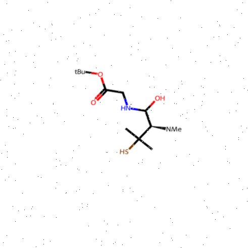 CN[C@H](C(O)NCC(=O)OC(C)(C)C)C(C)(C)S